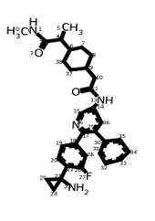 CNC(=O)C(C)C1CCC(CC(=O)Nc2cnc(-c3ccc(C4(N)CC4)c(F)c3)c(-c3ccccc3)c2)CC1